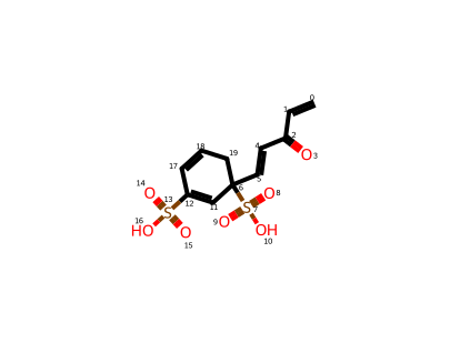 C=CC(=O)C=CC1(S(=O)(=O)O)C=C(S(=O)(=O)O)C=CC1